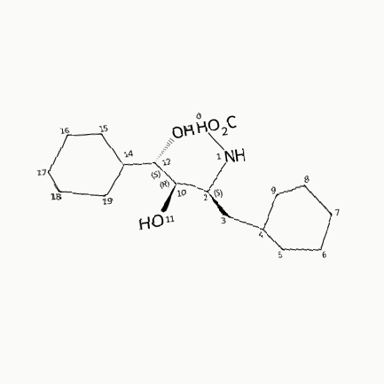 O=C(O)N[C@@H](CC1CCCCC1)[C@@H](O)[C@@H](O)C1CCCCC1